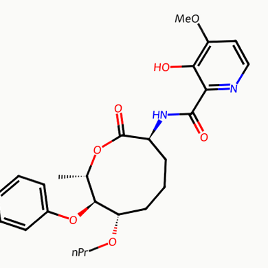 CCCO[C@H]1CCC[C@H](NC(=O)c2nccc(OC)c2O)C(=O)O[C@@H](C)[C@@H]1Oc1ccccc1